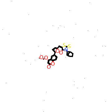 COCOc1cc(=O)oc2ccc(-c3ccc(C=C4SC(=S)N(C5CC6CCC5C6)C4=O)o3)cc12